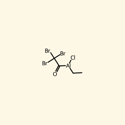 C[CH2][Al]([Cl])[C](=O)C(Br)(Br)Br